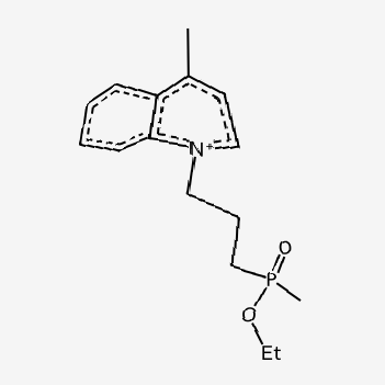 CCOP(C)(=O)CCC[n+]1ccc(C)c2ccccc21